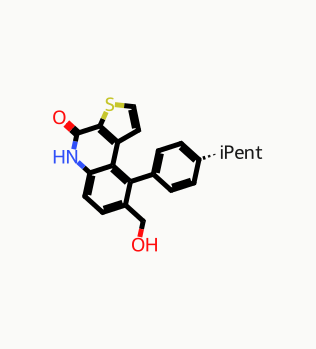 CCC[C@@H](C)c1ccc(-c2c(CO)ccc3[nH]c(=O)c4sccc4c23)cc1